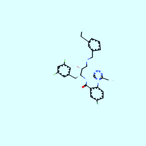 CCc1cccc(CNC[C@H](O)[C@H](Cc2cc(F)cc(F)c2)NC(=O)c2cc(Cl)ccc2-n2cnnc2C)c1